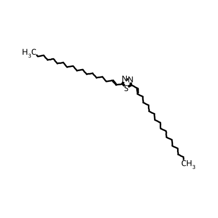 CCCCCCCCCCCCCCCCC=Cc1nnc(C=CCCCCCCCCCCCCCCCC)s1